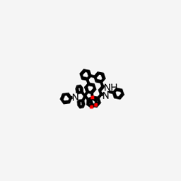 C1=C(c2cccc(-c3ccccc3-c3ccc4c(c3)C3(c5ccccc5-4)c4ccccc4N(c4ccccc4)c4ccccc43)c2)NC(c2ccccc2)N=C1c1ccccc1